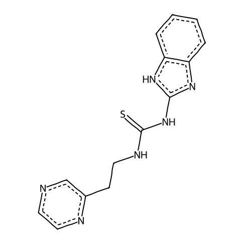 S=C(NCCc1cnccn1)Nc1nc2ccccc2[nH]1